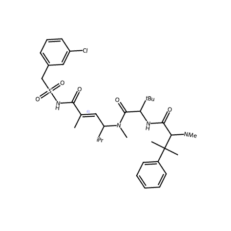 CNC(C(=O)NC(C(=O)N(C)C(/C=C(\C)C(=O)NS(=O)(=O)Cc1cccc(Cl)c1)C(C)C)C(C)(C)C)C(C)(C)c1ccccc1